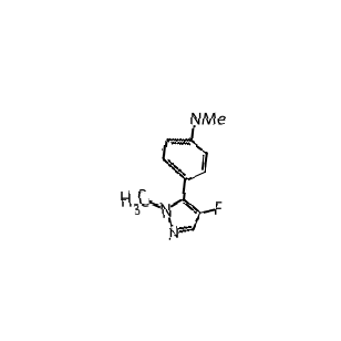 CNc1ccc(-c2c(F)cnn2C)cc1